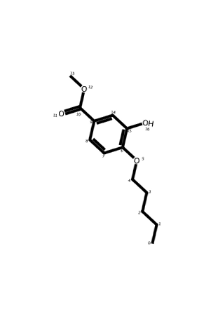 CCCCCOc1ccc(C(=O)OC)cc1O